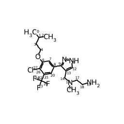 CC(C)CCOc1cc(-c2n[nH]cc2CN(C)CCN)cc(C(F)(F)F)c1Cl